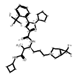 CC(C(=O)NC1CCC1)[C@H](CCCN1CC2C(C1)C2(F)F)NC(=O)c1cc(-c2ccccc2C(F)(F)F)n(C2CCCC2)n1